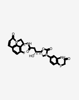 O=C1CSc2ccc(N3C[C@H]([C@H](O)CC(=O)N[C@@H]4Cn5c(=O)ccc6ccc(F)c4c65)OC3=O)cc2N1